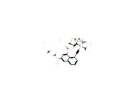 CC(C)[Si](C#Cc1cccc2cc(NC(=O)OC(C)(C)C)cc(B3OC(C)(C)C(C)(C)O3)c12)(C(C)C)C(C)C